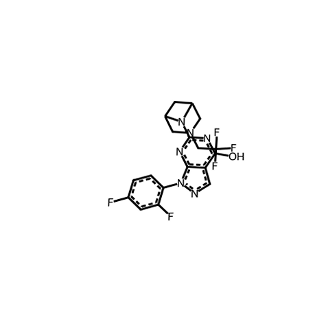 Oc1nc(N2C3CC2CN(CC(F)(F)F)C3)nc2c1cnn2-c1ccc(F)cc1F